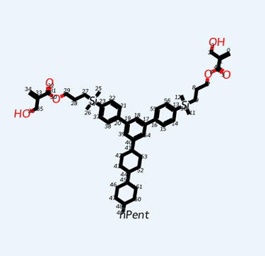 C=C(CO)C(=O)OCCC[Si](C)(C)c1ccc(-c2cc(-c3ccc([Si](C)(C)CCCOC(=O)C(=C)CO)cc3)cc(C3CCC(C4CCC(CCCCC)CC4)CC3)c2)cc1